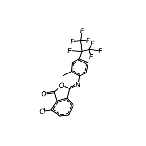 Cc1cc(C(F)(C(F)(F)F)C(F)(F)F)ccc1N=C1OC(=O)c2c(Cl)cccc21